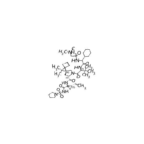 C=C[C@@H]1C[C@]1(NC(=O)[C@@H]1C[C@@]2(CN1C(=O)[C@@H](NC(=O)C(NC(=O)CN(C)C)C1CCCCC1)C(C)(C)C)C(C)(C)C21CCC1)C(=O)NS(=O)(=O)N1CCCC1